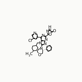 CC1CCC(Cn2c(N3CCOC[C@H]3c3ccccc3)nc3nc(-c4n[nH]c(=O)o4)nc(-c4cncc(Cl)c4)c32)CC1